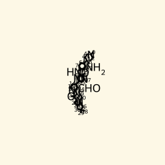 CN1CCN(c2ccc(Nc3nc(-c4ccnc(N5CCn6c(cc7c6CC(C)(C)C7)C5=O)c4C=O)cn(C)c3=O)cc2N)CC1